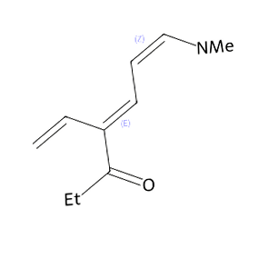 C=C/C(=C\C=C/NC)C(=O)CC